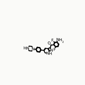 Nc1ccc(F)c(C(=O)C2=NC3=C2C=C(c2ccc(N4CCNCC4)cc2)CN3)c1F